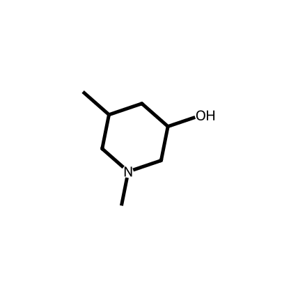 CC1CC(O)CN(C)C1